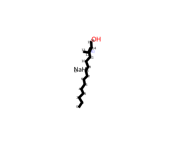 CCCCCCCCCCCC/C(C)=C/CO.[NaH]